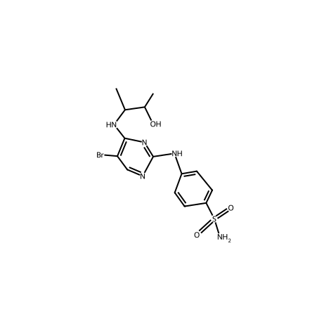 CC(O)C(C)Nc1nc(Nc2ccc(S(N)(=O)=O)cc2)ncc1Br